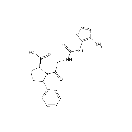 Cc1ccsc1NC(=O)NCC(=O)N1C(c2ccccc2)CC[C@H]1C(=O)O